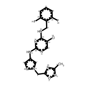 Cc1noc(Cn2cc(Nc3ncc(Cl)c(NCc4c(F)cccc4F)n3)cn2)n1